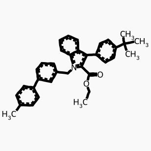 CCOC(=O)c1c(-c2ccc(C(C)(C)C)cc2)c2ccccc2n1Cc1cccc(-c2ccc(C)cc2)c1